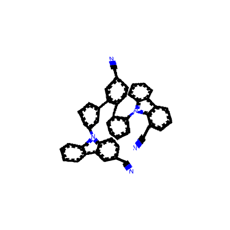 N#Cc1ccc(-c2ccccc2-n2c3ccccc3c3cccc(C#N)c32)c(-c2cccc(-n3c4ccccc4c4cc(C#N)ccc43)c2)c1